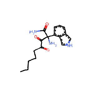 CCCCCC(=O)C(=O)C(N)(C(N)=O)c1cccc2c[nH]cc12